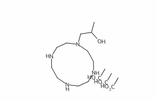 CC(=O)O.CC(=O)O.CC(=O)O.CC(O)CN1CCNCCNCCNCC1